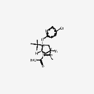 C[C@@H]1[C@@H]2C[C@H](N1C(=O)O)[C@@](Oc1ccc(Cl)cn1)(C(C)(C)C)C2